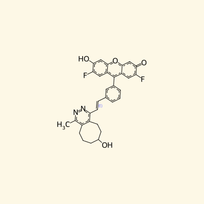 Cc1nnc(/C=C/c2cccc(-c3c4cc(F)c(=O)cc-4oc4cc(O)c(F)cc34)c2)c2c1CCCC(O)CC2